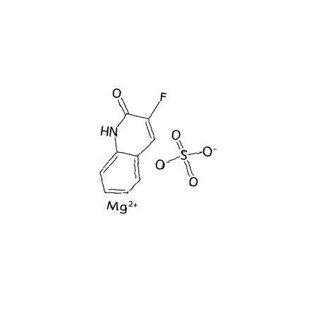 O=S(=O)([O-])[O-].O=c1[nH]c2ccccc2cc1F.[Mg+2]